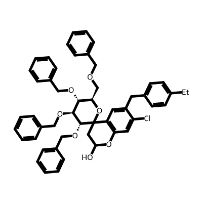 CCc1ccc(Cc2cc3c(cc2Cl)OC(O)CC32O[C@H](COCc3ccccc3)[C@@H](OCc3ccccc3)[C@H](OCc3ccccc3)[C@H]2OCc2ccccc2)cc1